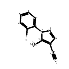 [C-]#[N+]c1cnn(-c2ccccc2F)c1N